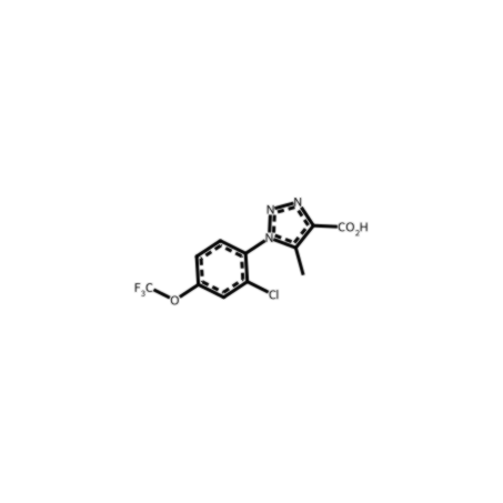 Cc1c(C(=O)O)nnn1-c1ccc(OC(F)(F)F)cc1Cl